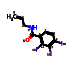 C=CCNC(=O)c1c[c]c(I)c(I)c1I